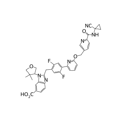 CC1(C)COCC1n1c(Cc2cc(F)c(-c3cccc(OCc4ccc(C(=O)NC5(C#N)CC5)nc4)n3)cc2F)nc2ccc(C(=O)O)cc21